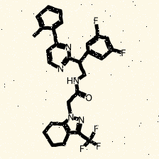 Cc1ccccc1-c1ccnc(C(CNC(=O)Cn2nc(C(F)(F)F)c3c2CCCC3)c2cc(F)cc(F)c2)n1